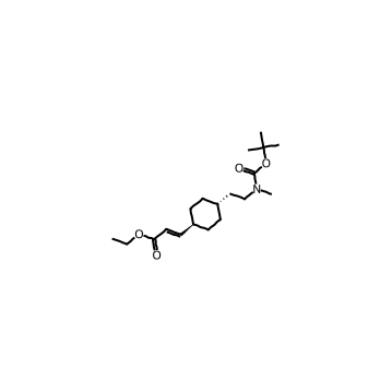 CCOC(=O)C=C[C@H]1CC[C@H](CCN(C)C(=O)OC(C)(C)C)CC1